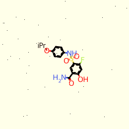 CC(C)Oc1ccc(NS(=O)(=O)c2cc(C(N)=O)c(O)cc2F)cc1